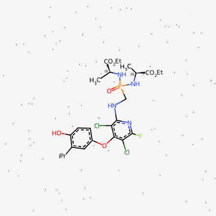 CCOC(=O)[C@H](C)NP(=O)(CNc1nc(F)c(Cl)c(Oc2ccc(O)c(C(C)C)c2)c1Cl)N[C@@H](C)C(=O)OCC